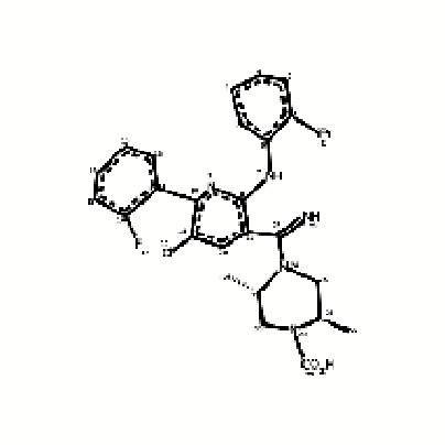 CC(C)c1ccccc1Nc1nc(-c2ccccc2F)c(Cl)cc1C(=N)N1C[C@@H](C)N(C(=O)O)C[C@@H]1C